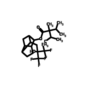 CC(C)C(C)(C(=O)OC1C2CCC3C2CC1C3CC(O)(C(F)(F)F)C(F)(F)F)C(C)C